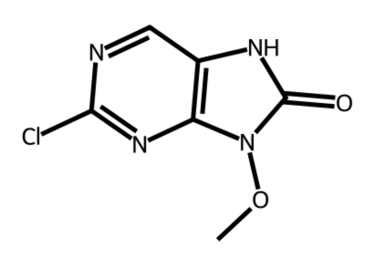 COn1c(=O)[nH]c2cnc(Cl)nc21